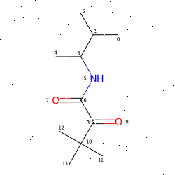 CC(C)C(C)NC(=O)C(=O)C(C)(C)C